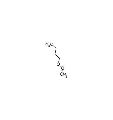 CCCCOOC